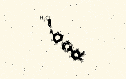 C=CCCC[C@H]1CC[C@H](c2cnc(-c3ccc(F)c(F)c3)nc2)CC1